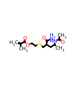 C=C(C)C(=O)OCCSCC(CC(C)NC(C)=O)C(N)=O